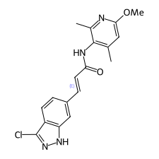 COc1cc(C)c(NC(=O)/C=C/c2ccc3c(Cl)n[nH]c3c2)c(C)n1